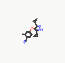 Cc1cc(Oc2c(C3CC3)n[nH]c2C2CC2)ccc1C#N